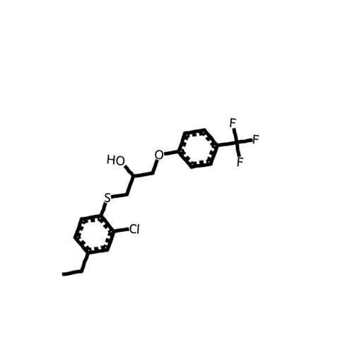 CCc1ccc(SCC(O)COc2ccc(C(F)(F)F)cc2)c(Cl)c1